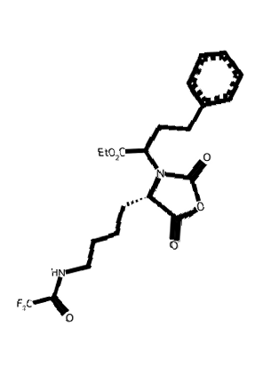 CCOC(=O)C(CCc1ccccc1)N1C(=O)OC(=O)[C@@H]1CCCCNC(=O)C(F)(F)F